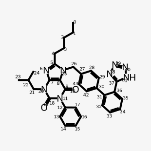 CCCCCc1nc2c(c(=O)n(-c3ccccc3)c(=O)n2CC(C)C)n1Cc1ccc(-c2ccccc2-c2nnn[nH]2)cc1